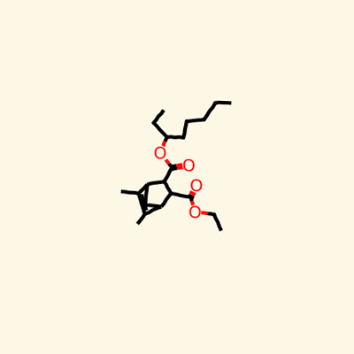 CCCCCC(CC)OC(=O)C1C2CC(C(C)=C2C)C1C(=O)OCC